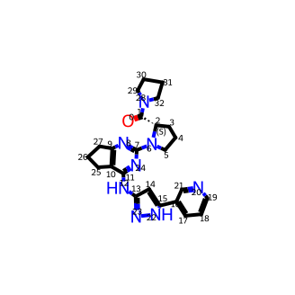 O=C([C@@H]1CCCN1c1nc2c(c(Nc3cc(-c4cccnc4)[nH]n3)n1)CCC2)N1CCCC1